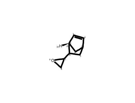 C1=C[C@@H]2CC1CC2C1CO1